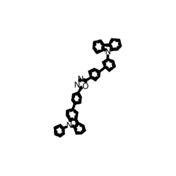 c1ccc(-n2c3ccccc3c3cc(-c4ccc(-c5nnc(-c6ccc(-c7cccc(-n8c9ccccc9c9ccccc98)c7)cc6)o5)cc4)ccc32)cc1